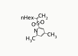 C=C(CCCCCC)S(=O)(=O)c1cc(C)cc(C)n1